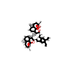 C=Cc1cc(CC[C@H]2O[C@@H]3O[C@]4(C)CC[C@H]5[C@H](C)CC[C@@H]([C@H]2C)[C@@]35OO4)c(CC[C@H]2O[C@@H]3O[C@]4(C)CC[C@H]5[C@H](C)CC[C@@H]([C@H]2C)[C@@]35OO4)cc1C=C